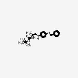 C[C@@H](CNc1ccc(OCc2ccccc2)cc1)NC(=O)OC(C)(C)C